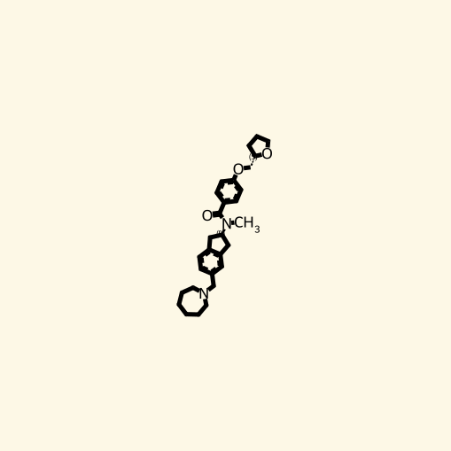 CN(C(=O)c1ccc(OC[C@@H]2CCCO2)cc1)[C@@H]1Cc2ccc(CN3CCCCCC3)cc2C1